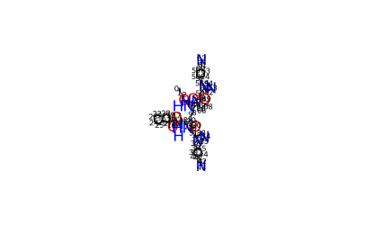 C=CCOC(=O)NC(CCC(C)C(CNS(=O)(=O)c1ccc2ccccc2c1)NC(=O)Cc1cncn1Cc1ccc(C#N)cc1)C(NC(=O)Cc1cncn1Cc1ccc(C#N)cc1)C(C)CC